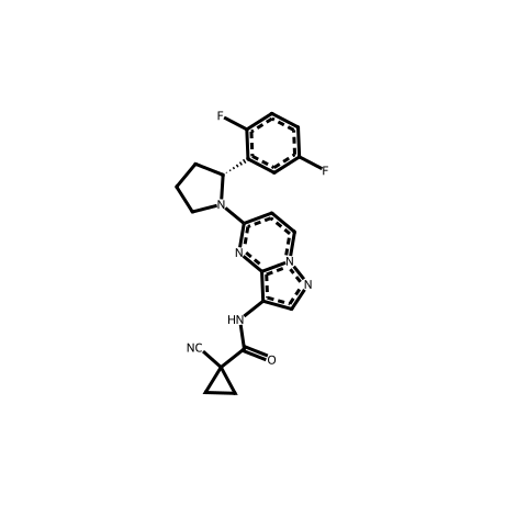 N#CC1(C(=O)Nc2cnn3ccc(N4CCC[C@@H]4c4cc(F)ccc4F)nc23)CC1